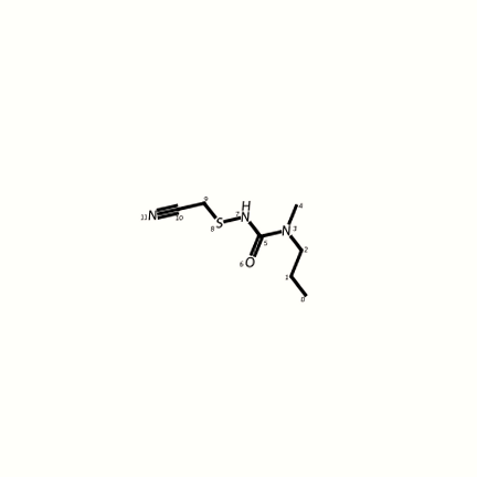 CCCN(C)C(=O)NSCC#N